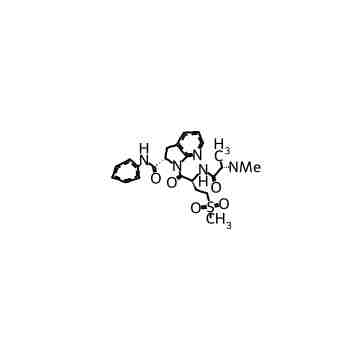 CN[C@@H](C)C(=O)N[C@@H](CCS(C)(=O)=O)C(=O)N1c2ncccc2C[C@H]1C(=O)Nc1ccccc1